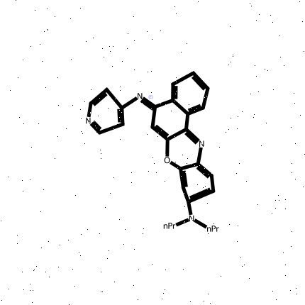 CCCN(CCC)c1ccc2nc3c4ccccc4/c(=N/c4ccncc4)cc-3oc2c1